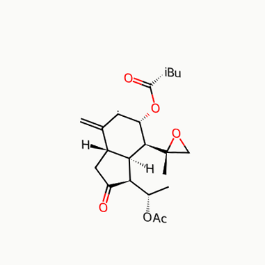 C=C1[CH][C@H](OC(=O)[C@@H](C)CC)[C@@H]([C@@]2(C)CO2)[C@H]2[C@@H]([C@H](C)OC(C)=O)C(=O)C[C@H]12